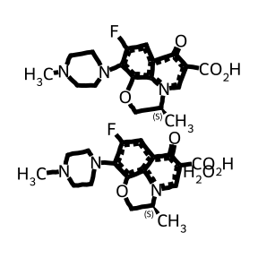 C[C@H]1COc2c(N3CCN(C)CC3)c(F)cc3c(=O)c(C(=O)O)cn1c23.C[C@H]1COc2c(N3CCN(C)CC3)c(F)cc3c(=O)c(C(=O)O)cn1c23.O